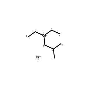 C[CH2][Sn+]([CH2]C)[CH2]C(C)C.[Br-]